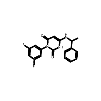 CC(Nc1cc(=O)n(-c2cc(F)cc(F)c2)c(=O)[nH]1)c1ccccc1